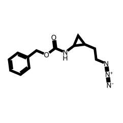 [N-]=[N+]=NCC[C]1CC1NC(=O)OCc1ccccc1